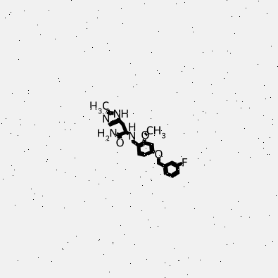 COc1cc(OCc2cccc(F)c2)ccc1CNC(Cc1cnc(C)[nH]1)C(N)=O